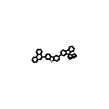 c1ccc2c(c1)-c1ccc(-c3ccc4oc5cc(-c6cc7ccccc7c7ccccc67)ccc5c4c3)cc1C21C2CC3CC(C2)C1C3